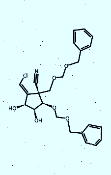 N#C[C@]1(COCOCc2ccccc2)/C(=C\Cl)[C@H](O)[C@H](O)[C@@H]1OCOCc1ccccc1